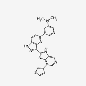 CN(C)c1cncc(-c2ccc3[nH]nc(-c4nc5c(-c6ccsc6)cncc5[nH]4)c3n2)c1